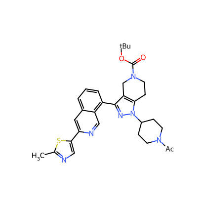 CC(=O)N1CCC(n2nc(-c3cccc4cc(-c5cnc(C)s5)ncc34)c3c2CCN(C(=O)OC(C)(C)C)C3)CC1